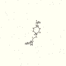 CCCNCCN1CCN(CCC)CC1